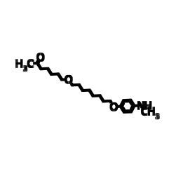 CNc1ccc(OCCCCCCCCOCCCCCC(C)=O)cc1